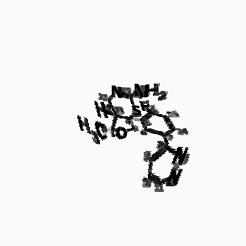 C[C@H]1OC[C@]2(c3cc(-c4cccnn4)ccc3F)SC(N)=NC[C@@H]12